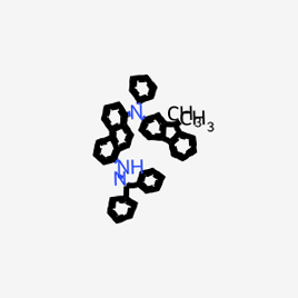 CC1(C)c2ccccc2-c2ccc(N(c3ccccc3)c3cccc4c3ccc3c(NN=C(c5ccccc5)c5ccccc5)cccc34)cc21